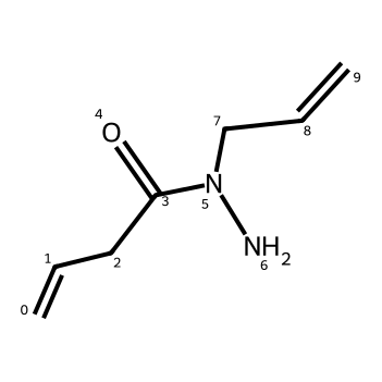 C=CCC(=O)N(N)CC=C